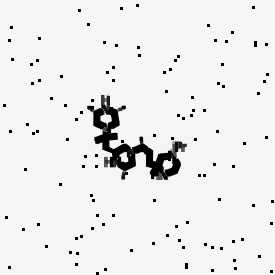 CC(C)N1CCNC(C)(CC[C@@H](C)N2C[C@H](CC(C)(C)N3C[C@@H](C)N[C@@H](C)C3)N[C@@H](C)C2)C1